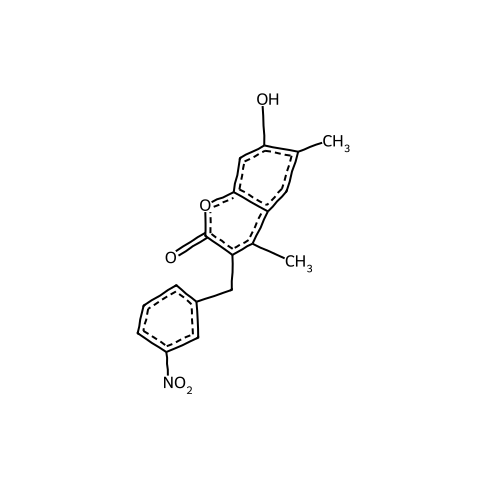 Cc1cc2c(C)c(Cc3cccc([N+](=O)[O-])c3)c(=O)oc2cc1O